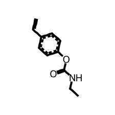 C=Cc1ccc(OC(=O)NCC)cc1